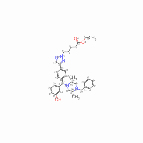 CCOC(=O)CCCCn1ncc(-c2ccc([C@H](c3cccc(O)c3)N3C[C@@H](C)N(Cc4ccccc4)C[C@@H]3C)cc2)n1